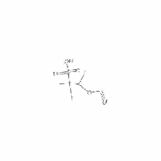 O=COC(F)C(F)(F)S(=O)(=O)O